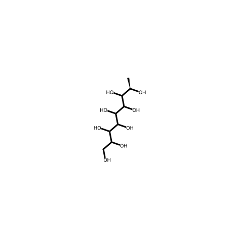 C[C@@H](O)C(O)C(O)C(O)C(O)C(O)C(O)CO